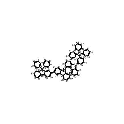 c1ccc(C2(c3ccccc3)c3ccccc3-c3ccc(-c4ccc5c(c4)c4ccccc4n5-c4cccc5c4c4ccccc4n5-c4cccc([Si](c5ccccc5)(c5ccccc5)c5ccccc5)c4)cc32)cc1